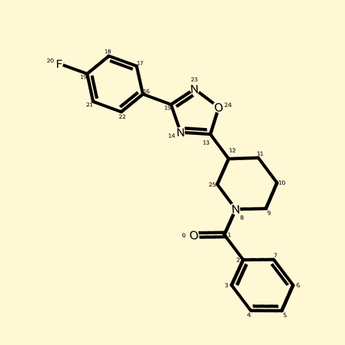 O=C(c1ccccc1)N1CCCC(c2nc(-c3ccc(F)cc3)no2)C1